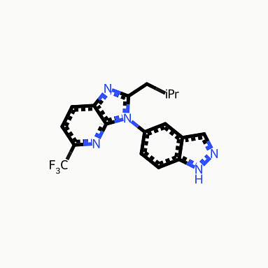 CC(C)Cc1nc2ccc(C(F)(F)F)nc2n1-c1ccc2[nH]ncc2c1